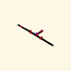 CCCCCCCCCCCCCCCCCC(=O)OCCCCCCC(CCCCCCOC(=O)CCCCCCCCCCCCCCCCC)OC(=O)NCCOCCN(C)C